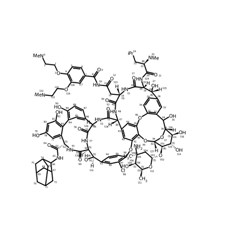 CNCCOc1ccc(C(=O)NC(=O)C[C@@H]2NC(=O)[C@H](NC(=O)[C@@H](CC(C)C)NC)[C@H](O)c3ccc4c(c3)C(O)[C@H]3O[C@@H](Oc5c6cc(cc5O4)[C@@H](NC2=O)C(=O)N[C@H]2C(=O)N[C@H](C(=O)N[C@H](C(=O)NC4C5CC7CC(C5)CC4C7)c4cc(O)cc(O)c4-c4cc2ccc4O)[C@H](O)c2ccc(c(Cl)c2)O6)[C@H](O[C@H]2C[C@](C)(N)[C@H](O)[C@H](C)O2)[C@@H](O)[C@@H]3O)cc1OCCNC